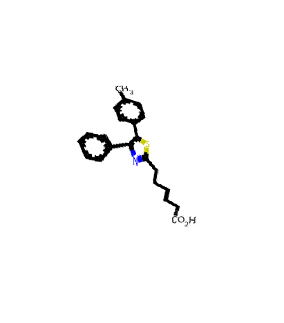 Cc1ccc(-c2sc(CCCCCC(=O)O)nc2-c2ccccc2)cc1